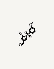 COc1cccc(S(=O)(=O)n2cc(C=O)cc2Br)c1